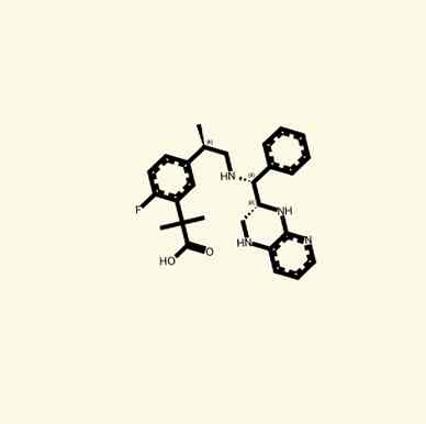 C[C@@H](CN[C@H](c1ccccc1)[C@H]1CNc2cccnc2N1)c1ccc(F)c(C(C)(C)C(=O)O)c1